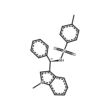 Cc1ccc(S(=O)(=O)N[C@H](c2ccccc2)c2cn(C)c3ccccc23)cc1